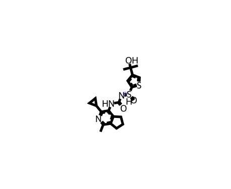 Cc1nc(C2CC2)c(NC(=O)/N=[SH](=O)/c2cc(C(C)(C)O)cs2)c2c1CCC2